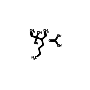 C=CC(CCCC)C(O)(O)C=C.O=C(O)O